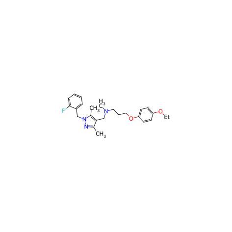 CCOc1ccc(OCCCN(C)Cc2c(C)nn(Cc3ccccc3F)c2C)cc1